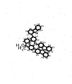 CC1(C)c2ccccc2-c2c(N(c3ccc(-c4cccc5c4sc4ccccc45)cc3)c3ccc4c(c3)C3(c5ccccc5-c5ccccc53)c3ccccc3-4)cccc21